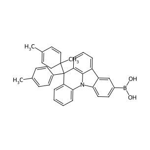 CC1=CCC(C)(C2(c3ccc(C)cc3)c3ccccc3-n3c4ccc(B(O)O)cc4c4cccc2c43)C=C1